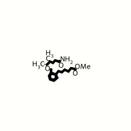 COC(=O)CCCCCc1ccccc1CO[C@H](C)[C@@H](C)CCC(N)=O